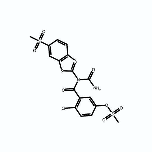 CS(=O)(=O)Oc1ccc(Cl)c(C(=O)N(C(N)=O)c2nc3ccc(S(C)(=O)=O)cc3s2)c1